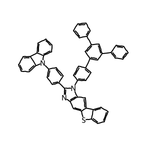 c1ccc(-c2cc(-c3ccccc3)cc(-c3ccc(-n4c(-c5ccc(-n6c7ccccc7c7ccccc76)cc5)nc5cc6sc7ccccc7c6cc54)cc3)c2)cc1